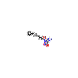 C[N+](C)(C)CC(CC(=O)[O-])NC(=O)CCCCCCCCc1ccccc1